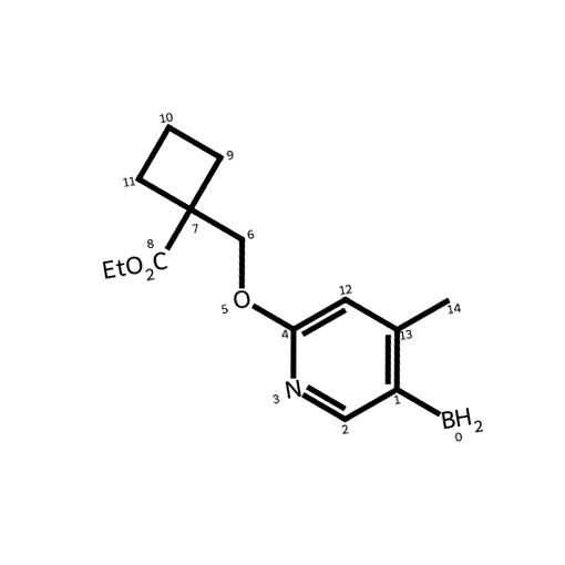 Bc1cnc(OCC2(C(=O)OCC)CCC2)cc1C